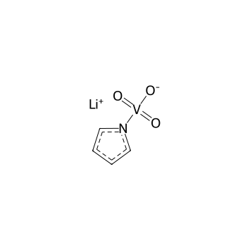 [Li+].[O]=[V](=[O])([O-])[n]1cccc1